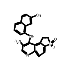 Nc1cnc2ccc3c(c2c1Nc1cccc2ccc(O)cc12)CCS3(=O)=O